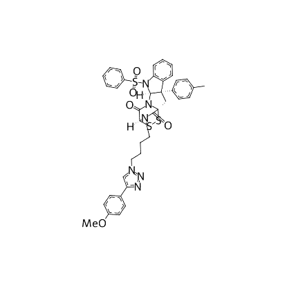 COc1ccc(-c2cn(CCCCN3C(=O)[C@@]45C[C@]6(c7ccc(C)cc7)c7ccccc7N(S(=O)(=O)c7ccccc7)[C@@H]6N4C(=O)[C@@H]3SS5)nn2)cc1